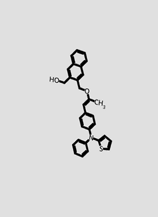 CC(=Cc1ccc(N(c2ccccc2)c2cccs2)cc1)OCc1cc2ccccc2cc1CO